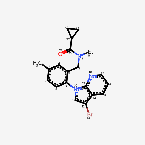 CCN(Cc1cc(C(F)(F)F)ccc1-n1cc(Br)c2cccnc21)C(=O)C1CC1